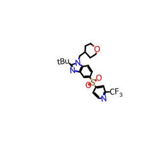 CC(C)(C)c1nc2cc(S(=O)(=O)c3ccnc(C(F)(F)F)c3)ccc2n1CC1CCOCC1